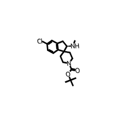 CN[C@@H]1Cc2cc(Cl)ccc2C12CCN(C(=O)OC(C)(C)C)CC2